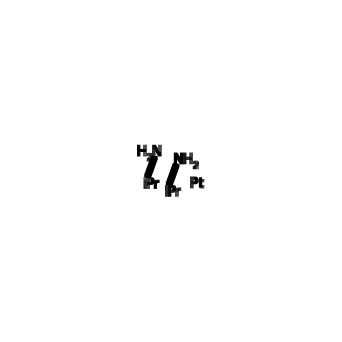 CC(C)N.CC(C)N.[Pt]